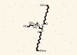 CCCCC/C=C\CCCCCCCC(=O)O[C@H](COC(=O)CCCCCCC/C=C\CCCCCCCC)COP(=O)(O)OC[C@@H](O)CO